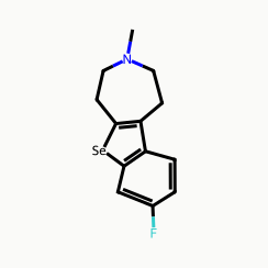 CN1CCc2[se]c3cc(F)ccc3c2CC1